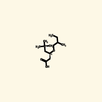 CCC(C)CO[C@H](CC(=O)O)C[N+](C)(C)C